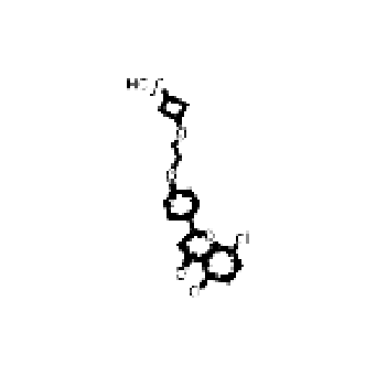 O=C(O)C1CC(OCCOc2ccc(-c3cc(=O)c4c(Cl)ccc(Cl)c4o3)cc2)C1